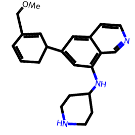 COCC1=CC(c2cc(NC3CCNCC3)c3cnccc3c2)CC=C1